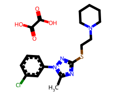 Cc1nc(SCCN2CCCCC2)nn1-c1cccc(Cl)c1.O=C(O)C(=O)O